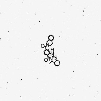 CC(C1C=CCCC1)n1c(=S)[nH]c2cc(C(=O)N3CCc4ccccc4C3)ccc2c1=O